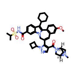 COc1ccc2c(c1)C=C(c1c(C(=O)N3C[C@@H]4C[C@H]3CN4C)cnn1C1CCC1)Cn1c-2c(C2CCCCC2)c2ccc(C(=O)NS(=O)(=O)C(C)C)cc21